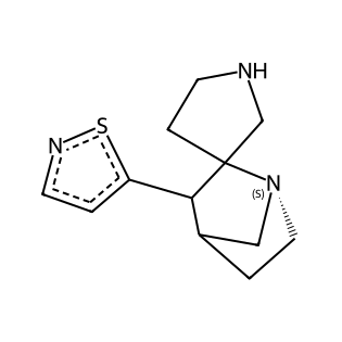 c1cc(C2C3CC[N@](C3)C23CCNC3)sn1